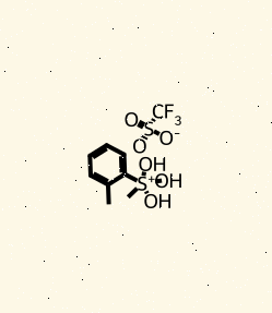 Cc1ccccc1[S+](C)(O)(O)O.O=S(=O)([O-])C(F)(F)F